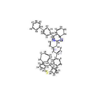 C=C/C(=C/C(=C\C)c1cccc2c1C1=C(CCCC=C1)C21c2ccccc2Sc2ccccc21)Cc1nc2c(c(-c3ccc(-c4ccccc4)cc3)n1)C=CCC2